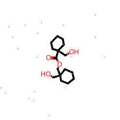 O=C(OCC1(CO)CCCCC1)C1(CO)CCCCC1